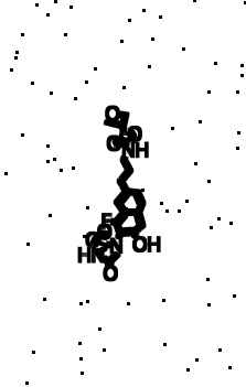 O=C1CN(c2c(O)cc3ccc(CCCNS(=O)(=O)C4COC4)cc3c2F)S(=O)(=O)N1